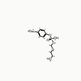 CCCCCCCCCCc1ccc(OP(=O)(O)OCOCCO)cc1